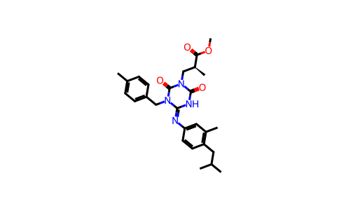 COC(=O)[C@@H](C)Cn1c(=O)[nH]/c(=N\c2ccc(CC(C)C)c(C)c2)n(Cc2ccc(C)cc2)c1=O